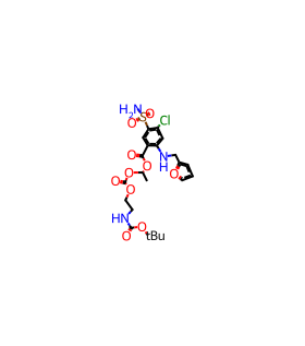 CC(OC(=O)OCCNC(=O)OC(C)(C)C)OC(=O)c1cc(S(N)(=O)=O)c(Cl)cc1NCc1ccco1